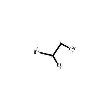 [CH2]C(C)C(CC)CCCC